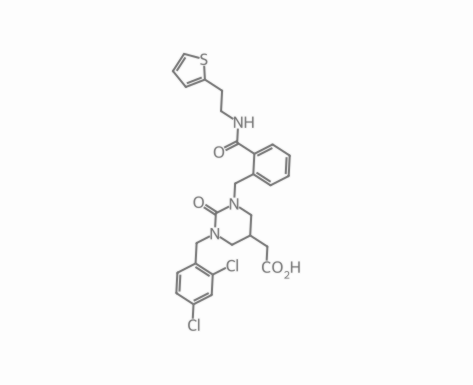 O=C(O)CC1CN(Cc2ccc(Cl)cc2Cl)C(=O)N(Cc2ccccc2C(=O)NCCc2cccs2)C1